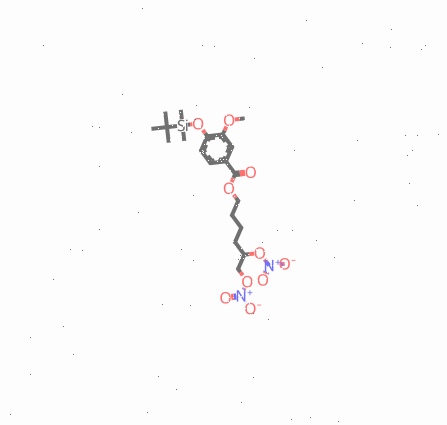 COc1cc(C(=O)OCCCCC(CO[N+](=O)[O-])O[N+](=O)[O-])ccc1O[Si](C)(C)C(C)(C)C